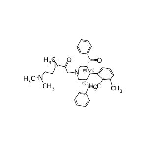 Cc1cccc([C@@H]2[C@@H](C(=O)c3ccccc3)CN(CC(=O)N(C)CCN(C)C)C[C@H]2C(=O)c2ccccc2)c1C